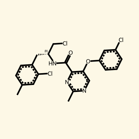 Cc1ccc(C[C@H](CCl)NC(=O)c2nc(C)ncc2Oc2cccc(Cl)c2)c(Cl)c1